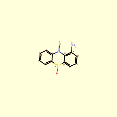 CCN1c2ccccc2[S+]([O-])c2cccc(N)c21